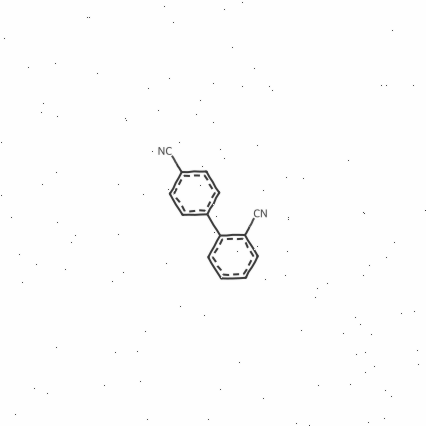 N#Cc1ccc(-c2ccccc2C#N)cc1